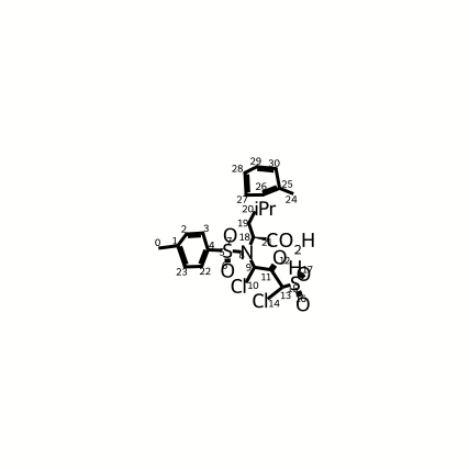 Cc1ccc(S(=O)(=O)N(C(Cl)C(=O)C(Cl)[SH](=O)=O)[C@@H](CC(C)C)C(=O)O)cc1.Cc1ccccc1